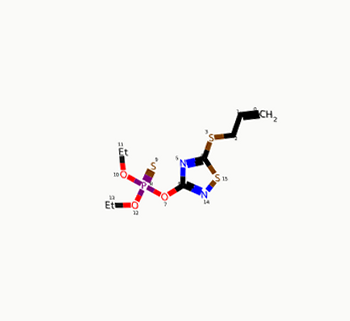 C=CCSc1nc(OP(=S)(OCC)OCC)ns1